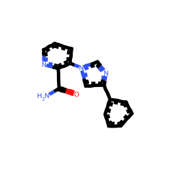 NC(=O)c1ncccc1-n1cnc(-c2ccccc2)c1